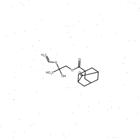 C=COC(O)(COC(=O)C12CC3CC(C1)C(=O)C(C3)C2)S(=O)(=O)O